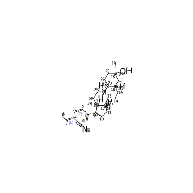 C=C(/C=C\C(C#N)=C/C)[C@H]1CC[C@H]2[C@@H]3CC[C@@H]4C[C@](C)(O)CC[C@@H]4[C@H]3CC[C@]12C